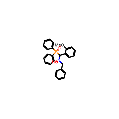 COc1ccccc1C(N(O)Cc1ccccc1)P(=O)(c1ccccc1)c1ccccc1